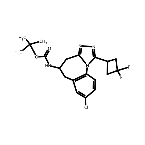 CC(C)(C)OC(=O)NC1Cc2cc(Cl)ccc2-n2c(nnc2C2CC(F)(F)C2)C1